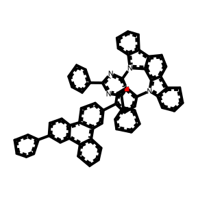 c1ccc(-c2ccc3c4ccc(-c5ccc(-n6c7ccccc7c7ccc8c9ccccc9n(-c9nc(-c%10ccccc%10)nc(-c%10ccccc%10)n9)c8c76)cc5)cc4c4ccccc4c3c2)cc1